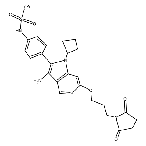 CCCS(=O)(=O)Nc1ccc(-c2c(N)c3ccc(OCCCN4C(=O)CCC4=O)cc3n2C2CCC2)cc1